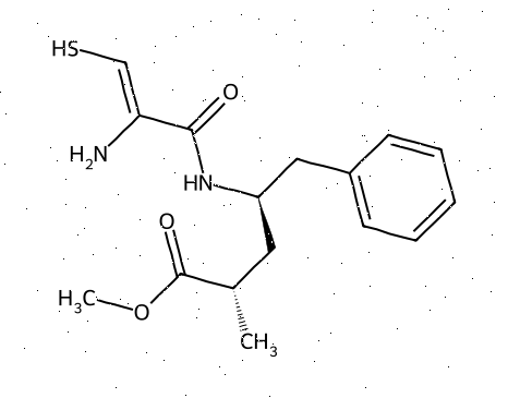 COC(=O)[C@@H](C)C[C@H](Cc1ccccc1)NC(=O)/C(N)=C/S